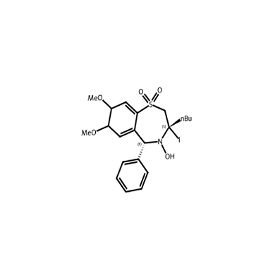 CCCC[C@]1(I)CS(=O)(=O)C2=CC(OC)C(OC)C=C2[C@@H](c2ccccc2)N1O